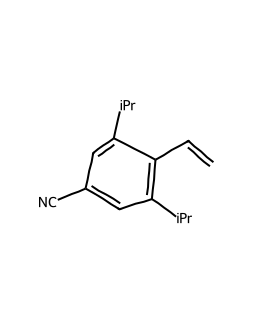 C=Cc1c(C(C)C)cc(C#N)cc1C(C)C